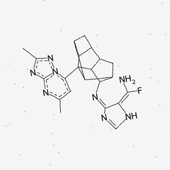 Cc1cc(C23C4C5CC4C2C2CC5C3C2/N=C2/N=CN/C2=C(/N)F)n2nc(C)nc2n1